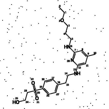 CCOCCCNc1cc(C)cc(NCCc2ccc(S(=O)(=O)CCO)cc2)n1